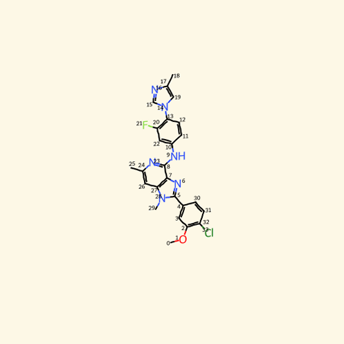 COc1cc(-c2nc3c(Nc4ccc(-n5cnc(C)c5)c(F)c4)nc(C)cc3n2C)ccc1Cl